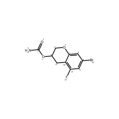 NC(=O)OC1COc2cc(Br)cc(F)c2C1